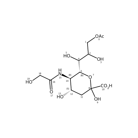 CC(=O)OCC(O)C(O)[C@@H]1OC(O)(C(=O)O)C[C@H](O)[C@H]1NC(=O)CO